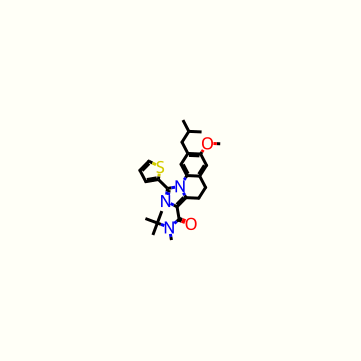 COc1cc2c(cc1CC(C)C)-n1c(-c3cccs3)nc(C(=O)N(C)C(C)(C)C)c1CC2